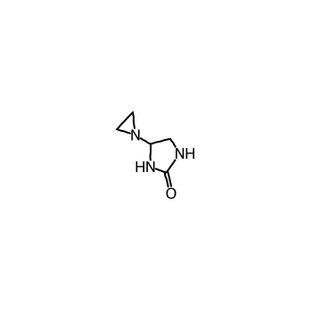 O=C1NCC(N2CC2)N1